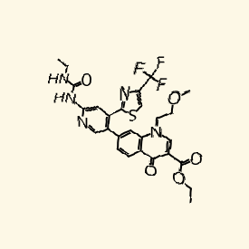 CCNC(=O)Nc1cc(-c2nc(C(F)(F)F)cs2)c(-c2ccc3c(=O)c(C(=O)OCC)cn(CCOC)c3c2)cn1